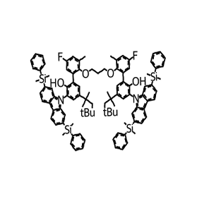 Cc1cc(F)cc(-c2cc(C(C)(C)CC(C)(C)C)cc(-n3c4cc([Si](C)(C)c5ccccc5)ccc4c4ccc([Si](C)(C)c5ccccc5)cc43)c2O)c1OCCCOc1c(C)cc(F)cc1-c1cc(C(C)(C)CC(C)(C)C)cc(-n2c3cc([Si](C)(C)c4ccccc4)ccc3c3ccc([Si](C)(C)c4ccccc4)cc32)c1O